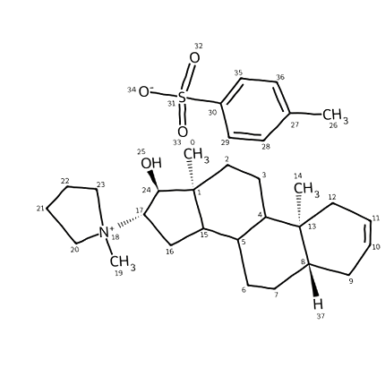 C[C@]12CCC3C(CC[C@H]4CC=CC[C@]34C)C1C[C@H]([N+]1(C)CCCC1)[C@H]2O.Cc1ccc(S(=O)(=O)[O-])cc1